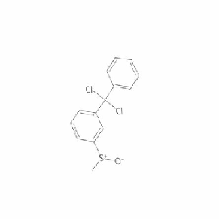 C[S+]([O-])c1cccc(C(Cl)(Cl)c2ccccc2)c1